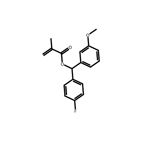 C=C(C)C(=O)OC(c1ccc(F)cc1)c1cccc(OC)c1